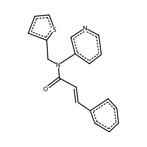 O=C(C=Cc1ccccc1)N(Cc1cccs1)c1cccnc1